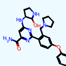 NC(=O)c1cc(N[C@H]2CCNC2O)nc(-c2ccc(Oc3ccc(F)cc3)cc2CN2CCCC2)n1